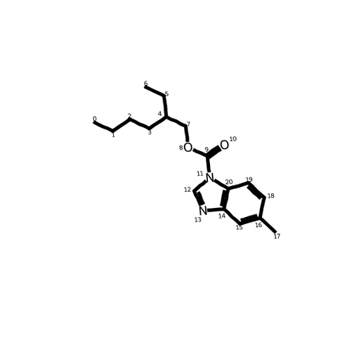 CCCCC(CC)COC(=O)n1cnc2cc(C)ccc21